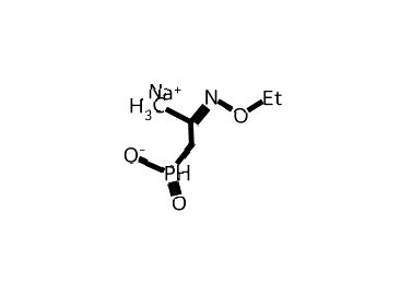 CCON=C(C)C[PH](=O)[O-].[Na+]